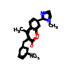 Cc1c(Cc2cccc([N+](=O)[O-])c2)c(=O)oc2cc(-c3nccn3C)ccc12